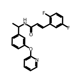 CC(NC(=O)C=Cc1cc(F)ccc1F)c1cccc(Oc2ccccn2)c1